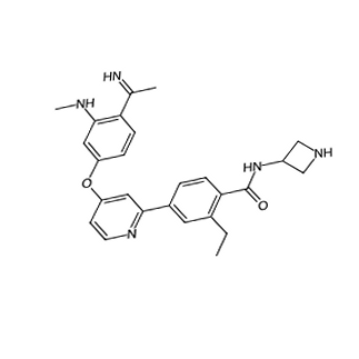 CCc1cc(-c2cc(Oc3ccc(C(C)=N)c(NC)c3)ccn2)ccc1C(=O)NC1CNC1